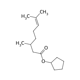 CC(C)=CCCC(C)CC(=O)OC1CCCC1